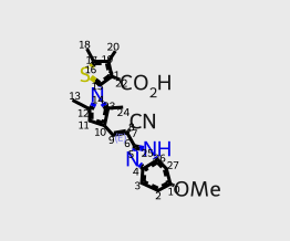 COc1ccc2nc(/C(C#N)=C/c3cc(C)n(-c4sc(C)c(C)c4C(=O)O)c3C)[nH]c2c1